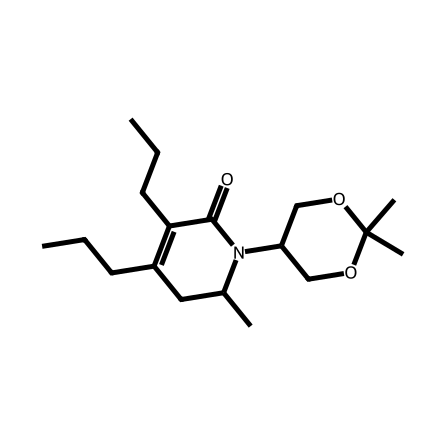 CCCC1=C(CCC)C(=O)N(C2COC(C)(C)OC2)C(C)C1